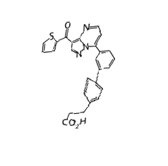 O=C(O)CCc1ccc(-c2cccc(-c3ccnc4c(C(=O)c5cccs5)cnn34)c2)cc1